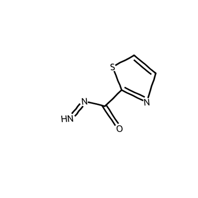 N=NC(=O)c1nccs1